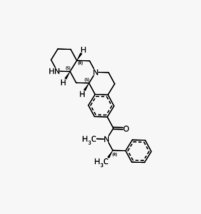 C[C@H](c1ccccc1)N(C)C(=O)c1ccc2c(c1)CCN1C[C@H]3CCCN[C@H]3C[C@@H]21